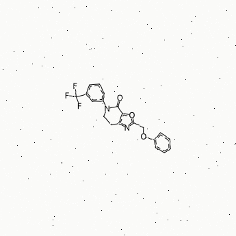 O=C1c2oc(COc3ccccc3)nc2CCN1c1cccc(C(F)(F)F)c1